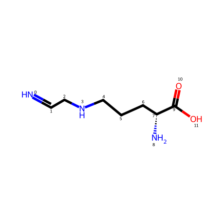 N=CCNCCC[C@@H](N)C(=O)O